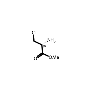 COC(=O)[C@@H](N)CCl